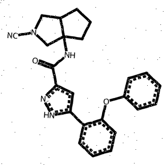 N#CN1CC2CCCC2(NC(=O)c2cc(-c3ccccc3Oc3ccccc3)[nH]n2)C1